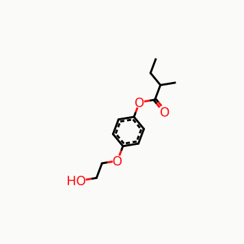 CCC(C)C(=O)Oc1ccc(OCCO)cc1